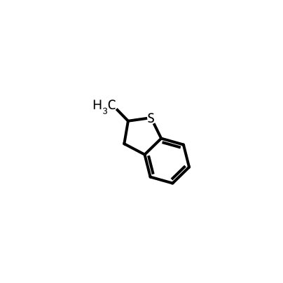 CC1Cc2ccccc2S1